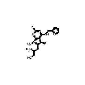 Cn1c(CC(N)CO)c(F)c2c(NCc3ccco3)nc(Cl)nc21